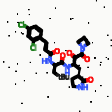 CC(C)(C)CC(NC(=O)/C=C/c1ccc(Cl)cc1Cl)C(=O)NC(C[C@@H]1CCNC1=O)C(=O)C(=O)N1CCC1